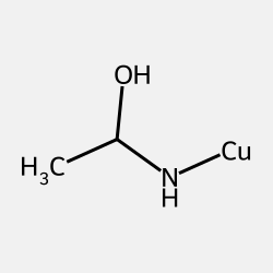 CC(O)[NH][Cu]